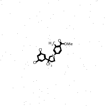 COC(=O)c1ccc(N2CCC(c3cc(Cl)cc(Cl)c3)(C(F)(F)F)C2)cc1C